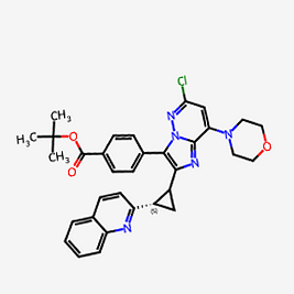 CC(C)(C)OC(=O)c1ccc(-c2c(C3C[C@@H]3c3ccc4ccccc4n3)nc3c(N4CCOCC4)cc(Cl)nn23)cc1